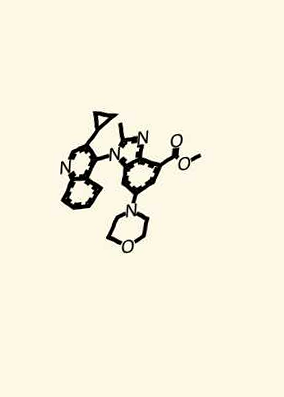 COC(=O)c1cc(N2CCOCC2)cc2c1nc(C)n2-c1c(C2CC2)cnc2ccccc12